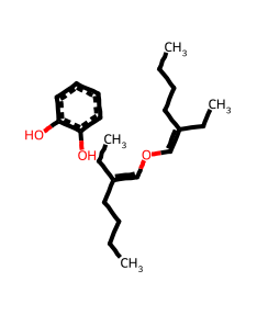 CCCCC(=COC=C(CC)CCCC)CC.Oc1ccccc1O